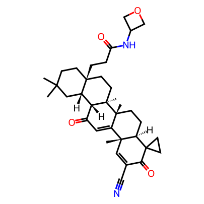 CC1(C)CC[C@]2(CCC(=O)NC3COC3)CC[C@]3(C)[C@H](C(=O)C=C4[C@@]5(C)C=C(C#N)C(=O)C6(CC6)[C@@H]5CC[C@]43C)[C@@H]2C1